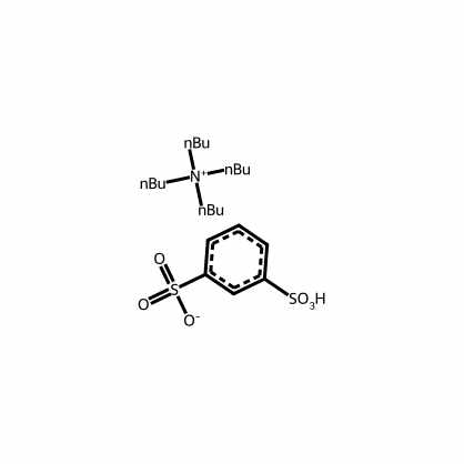 CCCC[N+](CCCC)(CCCC)CCCC.O=S(=O)([O-])c1cccc(S(=O)(=O)O)c1